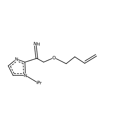 C=CCCOCC(=N)c1nccn1C(C)C